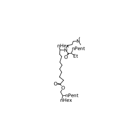 CCCCCCC(CCCCC)COC(=O)CCCCCCCCC(CCCCCC)N(CCCN(C)C)C(=O)C(CC)CCCCC